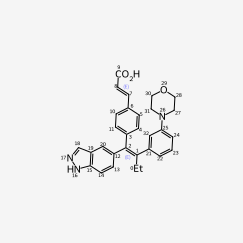 CC/C(=C(/c1ccc(/C=C/C(=O)O)cc1)c1ccc2[nH]ncc2c1)c1cccc(N2CCOCC2)c1